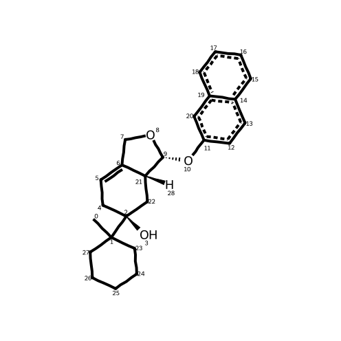 CC1([C@]2(O)CC=C3CO[C@H](Oc4ccc5ccccc5c4)[C@@H]3C2)CCCCC1